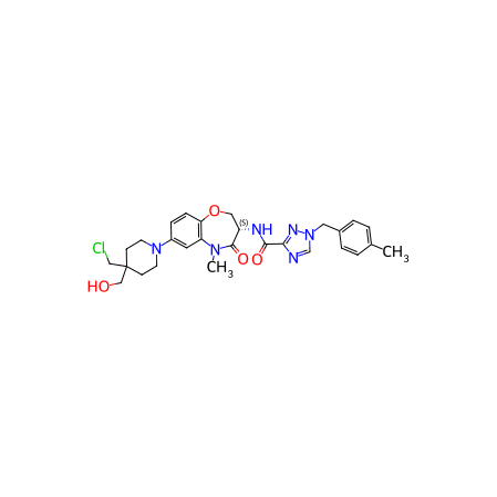 Cc1ccc(Cn2cnc(C(=O)N[C@H]3COc4ccc(N5CCC(CO)(CCl)CC5)cc4N(C)C3=O)n2)cc1